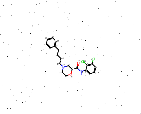 O=C(Nc1cccc(Cl)c1Cl)[C@@H]1CN(CCCCc2ccccc2)CCO1